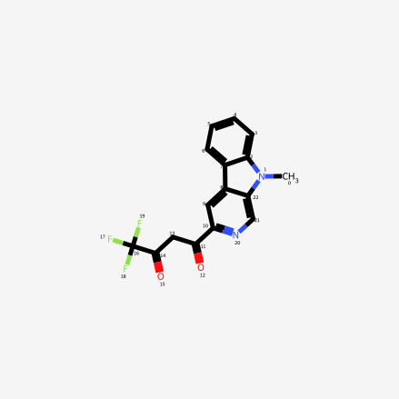 Cn1c2ccccc2c2cc(C(=O)CC(=O)C(F)(F)F)ncc21